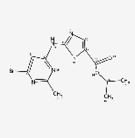 Cc1nc(Br)cc(Nc2ncc(C(=O)OC(C)C)s2)n1